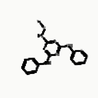 CC(C)SNc1nc(Nc2ccccc2)nc(Nc2ccccc2)n1